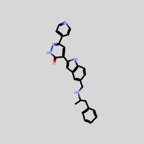 CC(Cc1ccccc1)NCc1ccc2[nH]c(-c3cc(-c4ccncc4)n[nH]c3=O)cc2c1